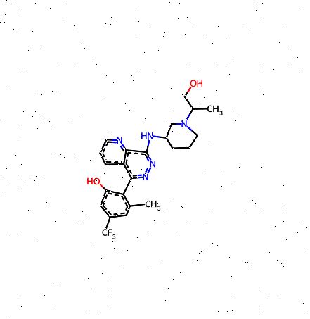 Cc1cc(C(F)(F)F)cc(O)c1-c1nnc(NC2CCCN(C(C)CO)C2)c2ncccc12